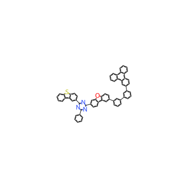 c1ccc(-c2nc(-c3ccc4c(c3)oc3ccc(-c5cccc(-c6cccc(-c7ccc8c9ccccc9c9ccccc9c8c7)c6)c5)cc34)nc(-c3ccc4sc5ccccc5c4c3)n2)cc1